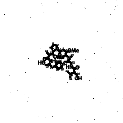 CCC(C)C(C(CC(=O)N1CCCC1C(OC)C(C)C(=O)NC(CO)Cc1ccccc1)OC)N(C)C(=O)CNC(=O)C(CO)N(C)C